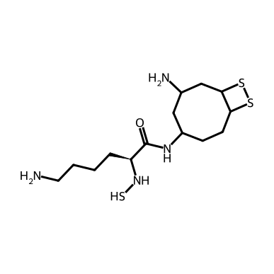 NCCCC[C@H](NS)C(=O)NC1CCC2SSC2CC(N)C1